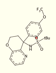 CC(C)(C)S(=O)(=O)NC1(c2ccc(OC(F)(F)F)cc2)CCOc2cccnc21